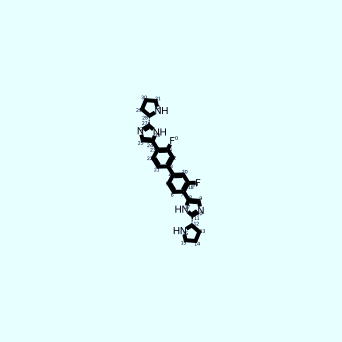 Fc1cc(-c2ccc(-c3cnc([C@@H]4CCCN4)[nH]3)c(F)c2)ccc1-c1cnc([C@@H]2CCCN2)[nH]1